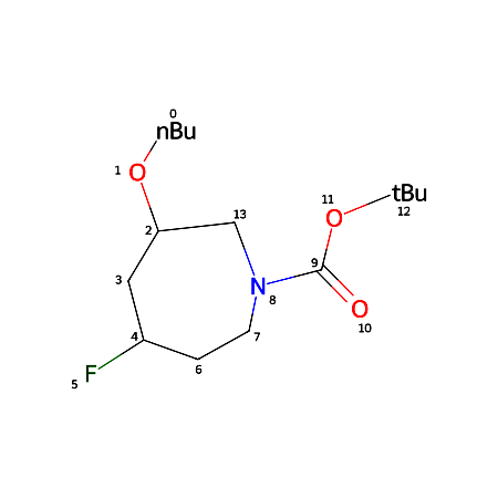 CCCCOC1CC(F)CCN(C(=O)OC(C)(C)C)C1